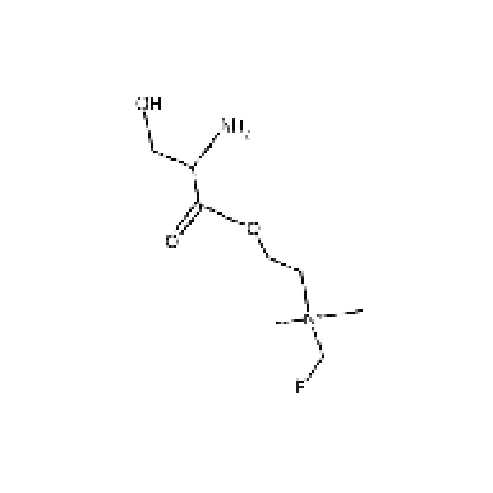 C[N+](C)(CF)CCOC(=O)C(N)CO